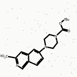 CCOC(=O)c1cc2cc(N3CCN(C(=O)OC(C)(C)C)CC3)ccc2cn1